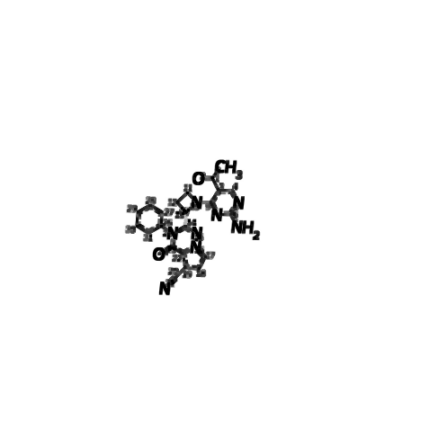 CC(=O)c1cnc(N)nc1N1CC[C@H]1c1nn2ccc(C#N)c2c(=O)n1-c1ccccc1